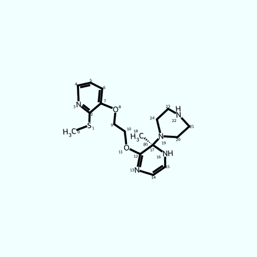 CSc1ncccc1OCCOC1=NC=CN[C@]1(C)N1CCNCC1